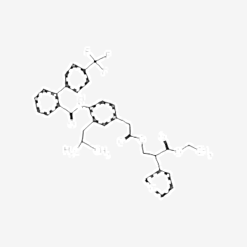 CCOC(=O)C(COC(=O)Cc1ccc(NC(=O)c2ccccc2-c2ccc(C(F)(F)F)cc2)c(CC(C)C)c1)c1ccccc1